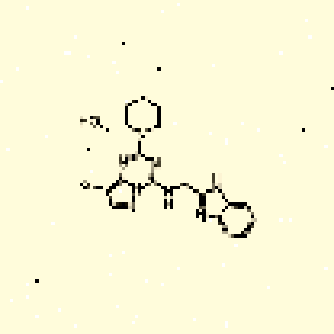 OC[C@@H]1CCCCN1c1nc(NCc2nc3ccccc3[nH]2)n2ncc(Br)c2n1